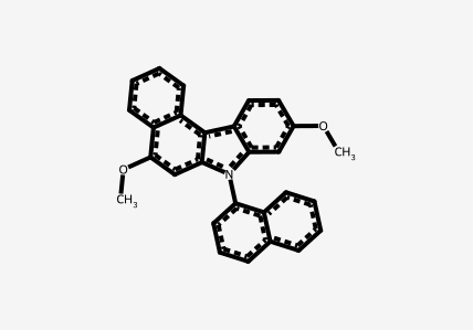 COc1ccc2c3c4ccccc4c(OC)cc3n(-c3cccc4ccccc34)c2c1